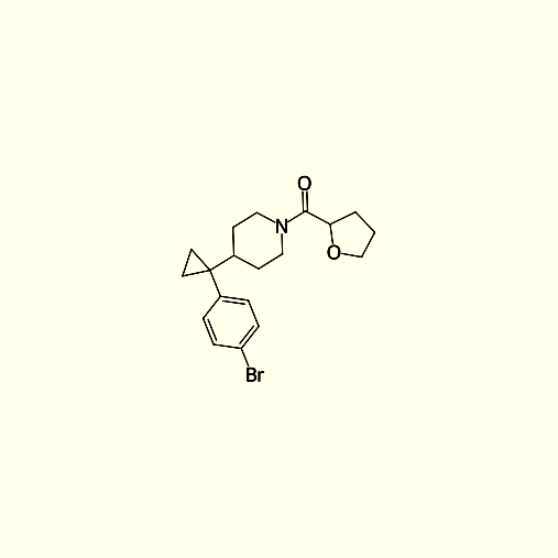 O=C(C1CCCO1)N1CCC(C2(c3ccc(Br)cc3)CC2)CC1